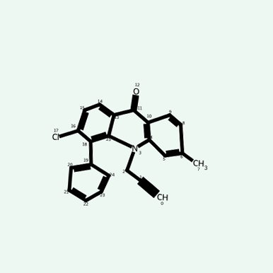 C#CCn1c2cc(C)ccc2c(=O)c2ccc(Cl)c(-c3ccccc3)c21